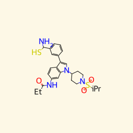 CCC(=O)Nc1ccc2c(-c3cccc(C(N)S)c3)cn(C3CCN(S(=O)(=O)C(C)C)CC3)c2c1